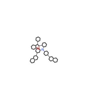 c1ccc(-c2c(-c3ccccc3N(c3ccc(-c4ccc5ccccc5c4)cc3)c3cccc(-c4ccc5ccccc5c4)c3)oc3ccccc23)cc1